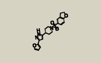 O=S(=O)(c1ccc2c(c1)CCO2)N1CCC(c2cc(-c3ccco3)n[nH]2)CC1